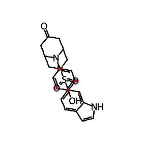 O=C1CC2CN(S(=O)(=O)c3ccc4cc[nH]c4c3)CC(C1)N2c1ccc(O)cc1